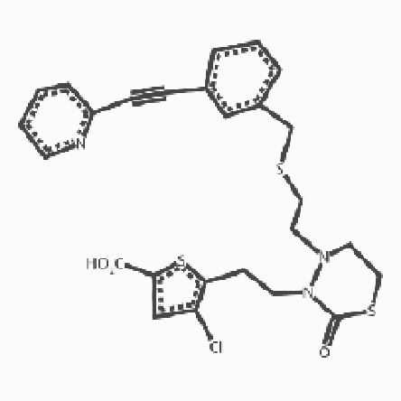 O=C(O)c1cc(Cl)c(CCN2C(=O)SCCN2CCSCc2cccc(C#Cc3ccccn3)c2)s1